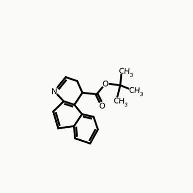 CC(C)(C)OC(=O)C1CC=Nc2ccc3ccccc3c21